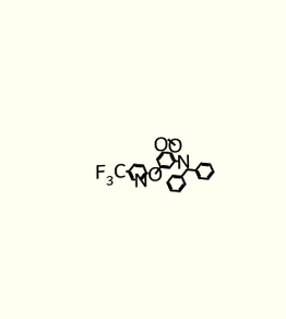 FC(F)(F)c1ccc(Oc2cc(N=C(c3ccccc3)c3ccccc3)c3c(c2)OCO3)nc1